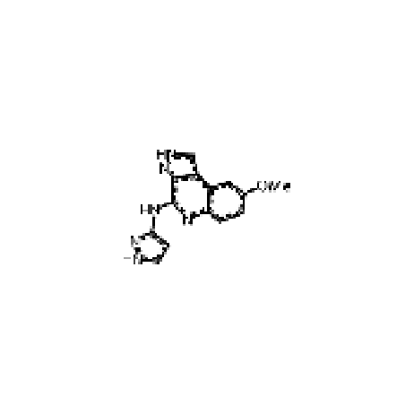 COc1ccc2nc(Nc3cc[nH]n3)c3n[nH]cc3c2c1